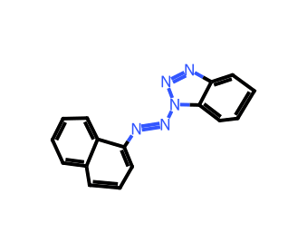 c1ccc2c(N=Nn3nnc4ccccc43)cccc2c1